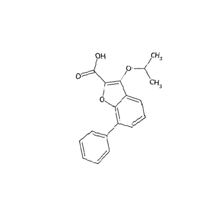 CC(C)Oc1c(C(=O)O)oc2c(-c3ccccc3)cccc12